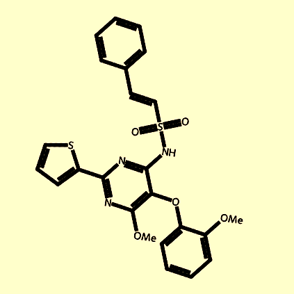 COc1ccccc1Oc1c(NS(=O)(=O)C=Cc2ccccc2)nc(-c2cccs2)nc1OC